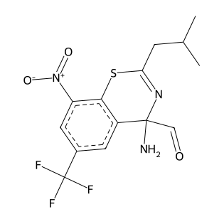 CC(C)CC1=NC(N)(C=O)c2cc(C(F)(F)F)cc([N+](=O)[O-])c2S1